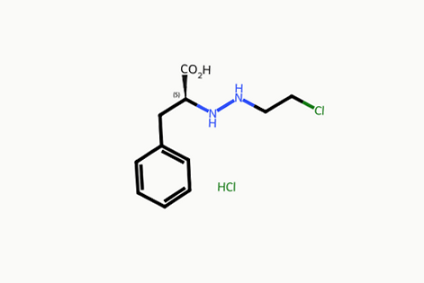 Cl.O=C(O)[C@H](Cc1ccccc1)NNCCCl